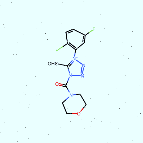 O=Cc1n(C(=O)N2CCOCC2)nn[n+]1-c1cc(F)ccc1F